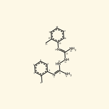 Cc1ccccc1N=C(N)NNC(N)=Nc1ccccc1C